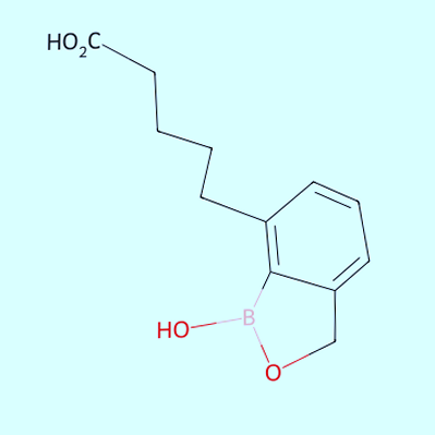 O=C(O)CCCCc1cccc2c1B(O)OC2